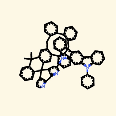 CC1(C)c2ccccc2C2(c3cc4c(cc31)Cc1ccccc1-c1ccccc1Cc1ccccc1-4)c1cccnc1-c1ncc(-n3c4ccccc4c4cc5c6ccccc6n(-c6ccccc6)c5cc43)cc12